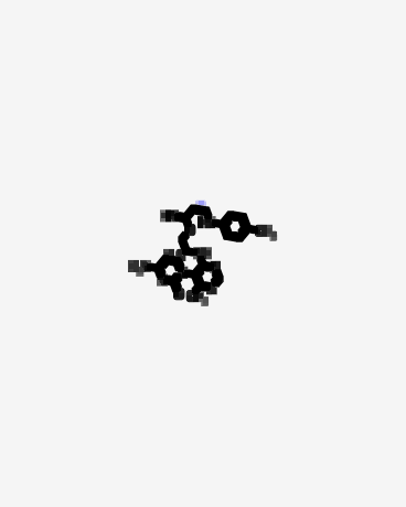 Cc1ccc(N/C=C\C(=N)OCC(C)Nc2ncnc(C)c2-n2ccc(N)nc2=O)cc1